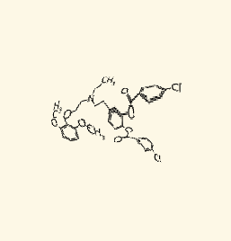 CCCN(CCOc1c(OC)cccc1OC)CCc1ccc(OC(=O)c2ccc(Cl)cc2)c(OC(=O)c2ccc(Cl)cc2)c1